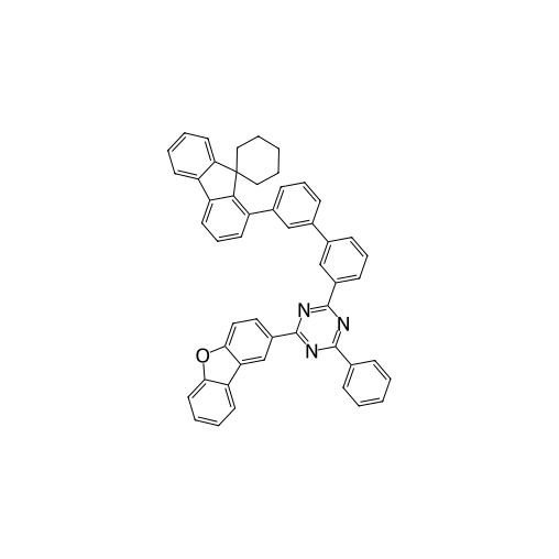 c1ccc(-c2nc(-c3cccc(-c4cccc(-c5cccc6c5C5(CCCCC5)c5ccccc5-6)c4)c3)nc(-c3ccc4oc5ccccc5c4c3)n2)cc1